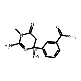 CCC[C@]1(c2cccc(C(N)=O)c2)CC(=O)N(C)C(N)=N1